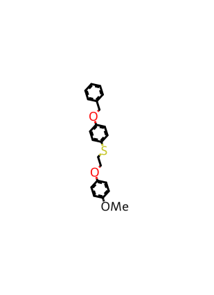 COc1ccc(OCCSc2ccc(OCc3ccccc3)cc2)cc1